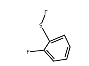 FSc1ccccc1F